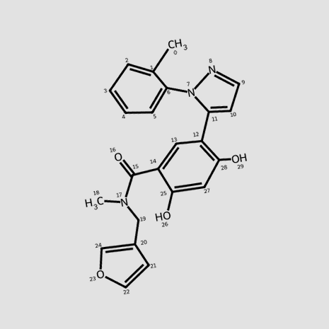 Cc1ccccc1-n1nccc1-c1cc(C(=O)N(C)Cc2ccoc2)c(O)cc1O